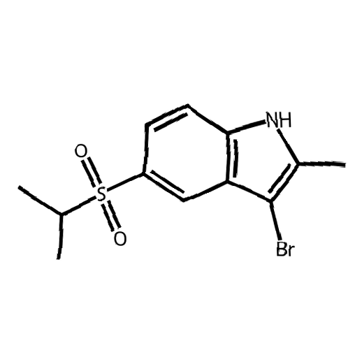 Cc1[nH]c2ccc(S(=O)(=O)C(C)C)cc2c1Br